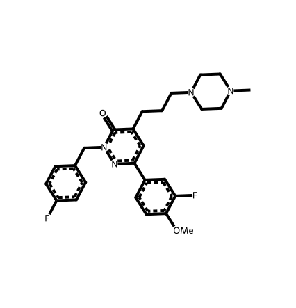 COc1ccc(-c2cc(CCCN3CCN(C)CC3)c(=O)n(Cc3ccc(F)cc3)n2)cc1F